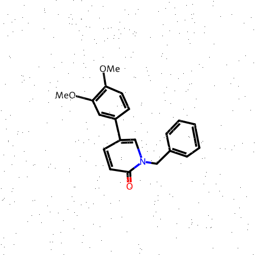 COc1ccc(-c2ccc(=O)n(Cc3ccccc3)c2)cc1OC